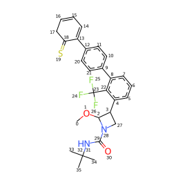 COC1C(c2cccc(-c3ccc(C4=CC=CCC4=S)cc3)c2C(F)(F)F)CN1C(=O)NC(C)(C)C